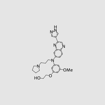 COc1cc(OCCO)cc(N(CCCN2CCCC2)c2ccc3ncc(-c4cn[nH]c4)nc3c2)c1